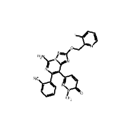 Cn1nc(-c2c(-c3ccccc3C#N)nc(N)n3nc(OCc4ncccc4F)nc23)ccc1=O